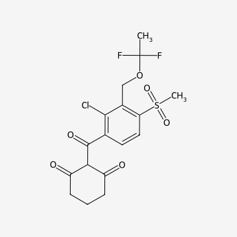 CC(F)(F)OCc1c(S(C)(=O)=O)ccc(C(=O)C2C(=O)CCCC2=O)c1Cl